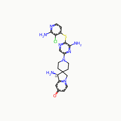 Nc1nc(N2CCC3(CC2)Cn2ccc(=O)cc2[C@H]3N)cnc1Sc1ccnc(N)c1Cl